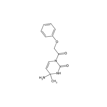 CC1(N)C=CN(C(=O)COc2ccccc2)C(=O)N1